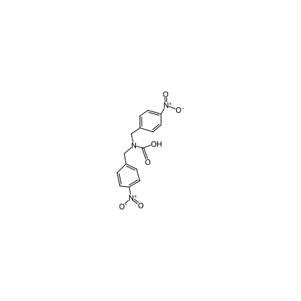 O=C(O)N(Cc1ccc([N+](=O)[O-])cc1)Cc1ccc([N+](=O)[O-])cc1